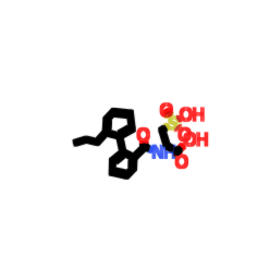 CCCc1ccccc1-c1ccccc1C(=O)NC(CS(=O)(=O)O)C(=O)O